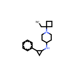 N#CCC1(N2CCC(NC3CC3c3ccccc3)CC2)CCC1